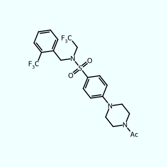 CC(=O)N1CCN(c2ccc(S(=O)(=O)N(Cc3ccccc3C(F)(F)F)CC(F)(F)F)cc2)CC1